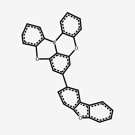 c1ccc2c(c1)Oc1cc(-c3ccc4oc5ccccc5c4c3)cc3c1B2c1ccccc1O3